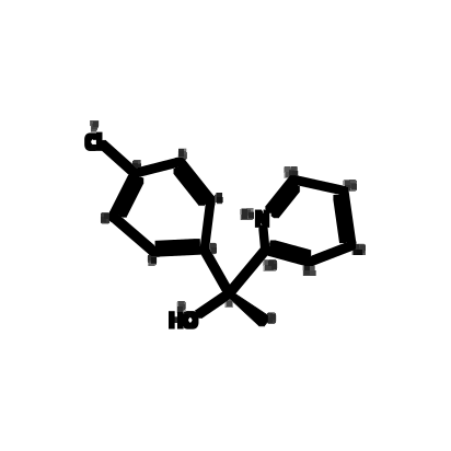 C[C@@](O)(c1ccc(Cl)cc1)c1ccccn1